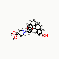 COC(OC)C1CCN(c2ccc([C@H]3c4ccc(O)cc4CC[C@@]34CCCc3ccccc34)cc2)CC1